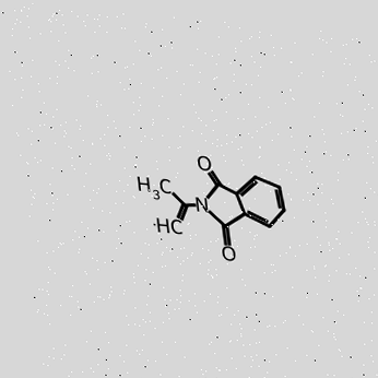 [CH]=C(C)N1C(=O)c2ccccc2C1=O